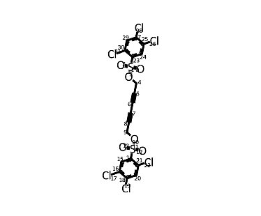 O=S(=O)(OCC#CC#CCOS(=O)(=O)c1cc(Cl)c(Cl)cc1Cl)c1cc(Cl)c(Cl)cc1Cl